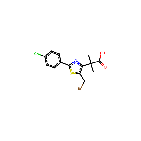 CC(C)(C(=O)O)c1nc(-c2ccc(Cl)cc2)sc1CBr